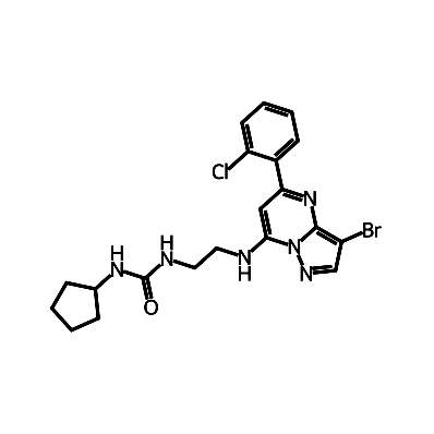 O=C(NCCNc1cc(-c2ccccc2Cl)nc2c(Br)cnn12)NC1CCCC1